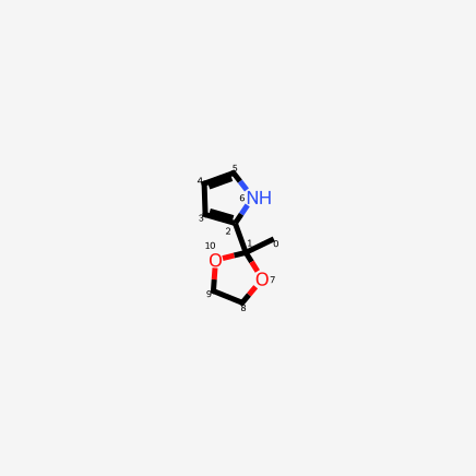 CC1(c2ccc[nH]2)OCCO1